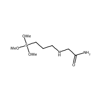 CO[Si](CCCNCC(N)=O)(OC)OC